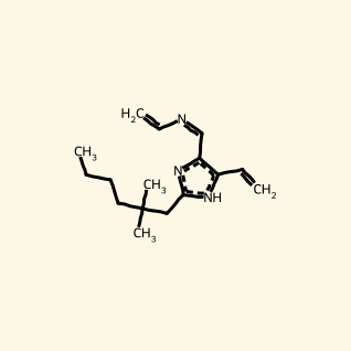 C=C/N=C\c1nc(CC(C)(C)CCCC)[nH]c1C=C